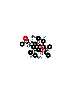 CC(C)c1cccc(Oc2cc3c4c(cc(Oc5cccc(C(C)C)c5)c5c6c(Oc7cccc(C(C)C)c7)cc7c8c(cc(Oc9cccc(C(C)C)c9)c(c2c45)c86)C(=O)N(C(Cc2ccccc2)C(=O)N(C2CCCCC2)C2CCCCC2)C7=O)C(=O)N(C(Cc2ccccc2)C(=O)N(C2CCCCC2)C2CCCCC2)C3=O)c1